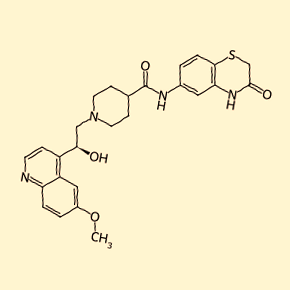 COc1ccc2nccc([C@H](O)CN3CCC(C(=O)Nc4ccc5c(c4)NC(=O)CS5)CC3)c2c1